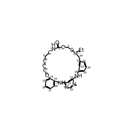 CCN1CCCC(=O)NCCCCCOc2ccccc2Nc2cc(ncn2)Nc2cccc(c2)C1